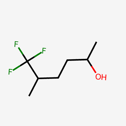 CC(O)CCC(C)C(F)(F)F